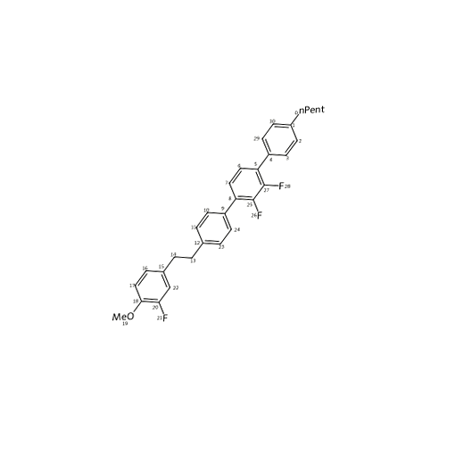 CCCCCc1ccc(-c2ccc(-c3ccc(CCc4ccc(OC)c(F)c4)cc3)c(F)c2F)cc1